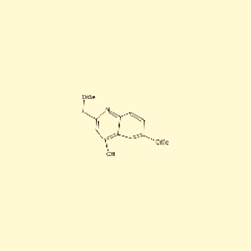 COCc1cc(O)c2cc(OC)ccc2n1